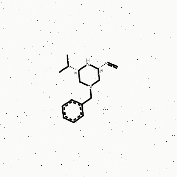 C=C[C@@H]1CN(Cc2ccccc2)C[C@H](C(C)C)N1